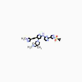 CN(C)CC1(C)CCN(c2cc(Nc3ccnc(-c4cnn(S(=O)(=O)C5CC5)c4)n3)ncc2C#Cc2cnn(C)c2)CC1